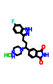 Cl.O=C1NC(=O)c2cc(C(CCc3n[nH]c4cc(F)ccc34)N3CCNCC3)ccc21